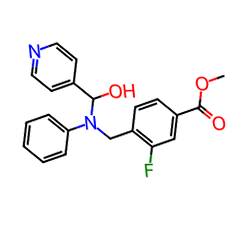 COC(=O)c1ccc(CN(c2ccccc2)C(O)c2ccncc2)c(F)c1